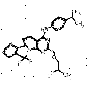 CC(C)COCc1nc(Nc2ccc(C(C)C)cc2)c2ccc(-c3ncccc3C(F)(F)F)nc2n1